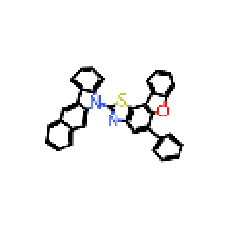 c1ccc(-c2cc3nc(-n4c5ccccc5c5cc6ccccc6cc54)sc3c3c2oc2ccccc23)cc1